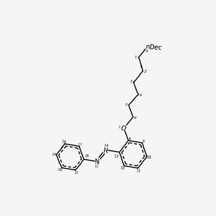 CCCCCCCCCCCCCCCCOc1ccccc1N=Nc1ccccc1